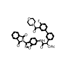 CC(=O)OC(C(=O)Nc1ccc2c(N3C(=O)c4ccccc4C3=O)noc2c1)c1cccc(-c2ccc(F)c(C(=O)N3CCOCC3)c2)c1